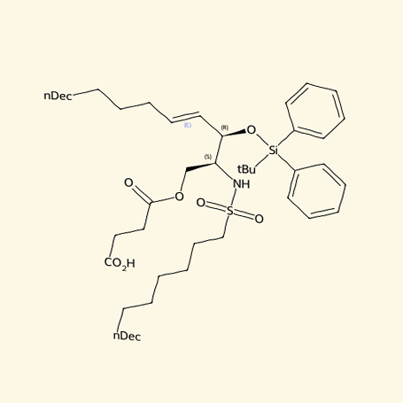 CCCCCCCCCCCCC/C=C/[C@@H](O[Si](c1ccccc1)(c1ccccc1)C(C)(C)C)[C@H](COC(=O)CCC(=O)O)NS(=O)(=O)CCCCCCCCCCCCCCCC